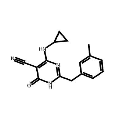 Cc1cccc(Cc2nc(NC3CC3)c(C#N)c(=O)[nH]2)c1